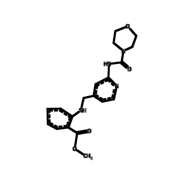 COC(=O)c1ccccc1NCc1ccnc(NC(=O)N2CCOCC2)c1